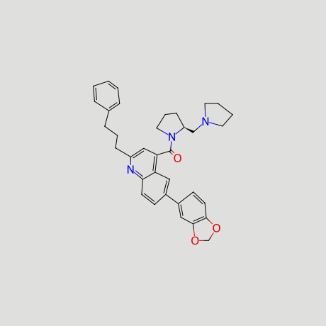 O=C(c1cc(CCCc2ccccc2)nc2ccc(-c3ccc4c(c3)OCO4)cc12)N1CCC[C@H]1CN1CCCC1